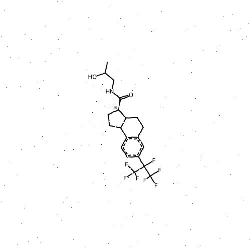 CC(O)CNC(=O)[C@@H]1CCC2c3ccc(C(F)(C(F)(F)F)C(F)(F)F)cc3CCC21